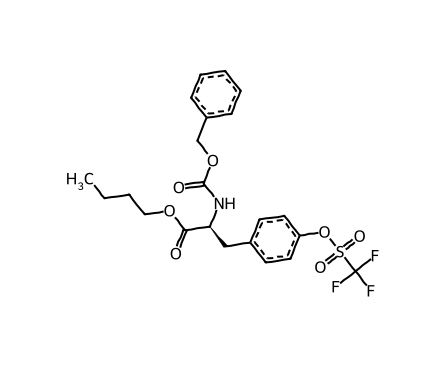 CCCCOC(=O)[C@H](Cc1ccc(OS(=O)(=O)C(F)(F)F)cc1)NC(=O)OCc1ccccc1